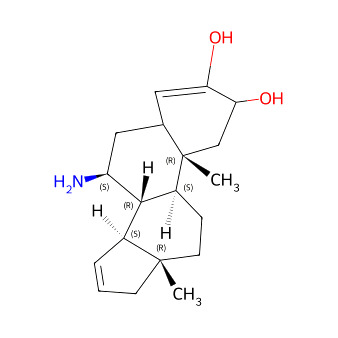 C[C@@]12CC=C[C@H]1[C@@H]1[C@@H](N)CC3C=C(O)C(O)C[C@]3(C)[C@H]1CC2